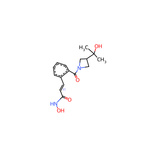 CC(C)(O)C1CN(C(=O)c2ccccc2/C=C/C(=O)NO)C1